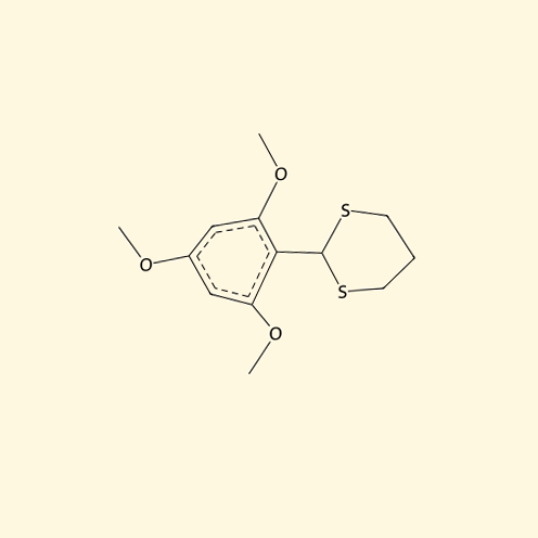 COc1cc(OC)c(C2SCCCS2)c(OC)c1